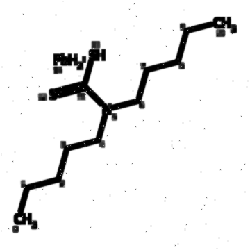 CCCCCN(CCCCC)C(=S)S.[PbH2]